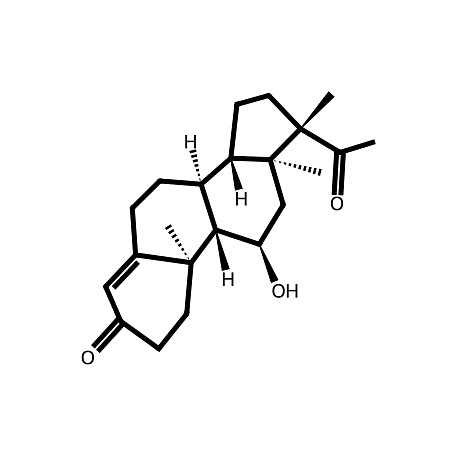 CC(=O)[C@@]1(C)CC[C@H]2[C@@H]3CCC4=CC(=O)CC[C@]4(C)[C@H]3[C@H](O)C[C@@]21C